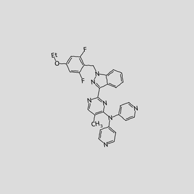 CCOc1cc(F)c(Cn2nc(-c3ncc(C)c(N(c4ccncc4)c4ccncc4)n3)c3ccccc32)c(F)c1